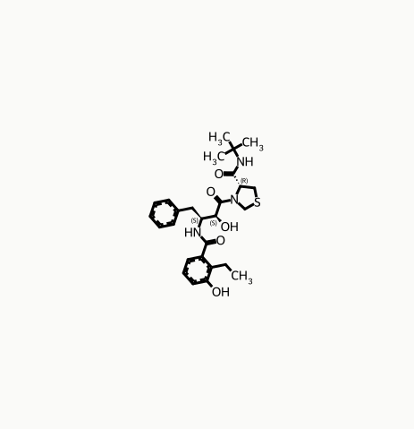 CCc1c(O)cccc1C(=O)N[C@@H](Cc1ccccc1)[C@H](O)C(=O)N1CSC[C@H]1C(=O)NC(C)(C)C